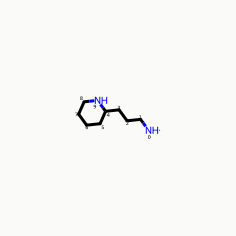 [NH]CCCC1CCCCN1